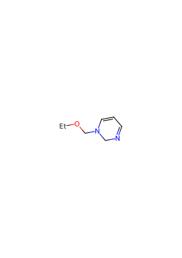 CCOCN1C=CC=NC1